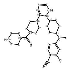 CN(c1ccc(C#N)c(Cl)c1)C1CCC(N2NC=CC=C2N2CCN(C(=O)N3CCNCC3)CC2)CC1